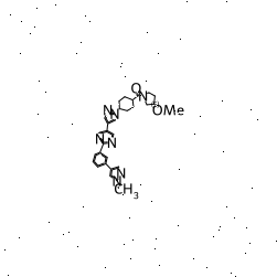 CO[C@H]1CCN(C(=O)C2CCC(n3cc(-c4cnc(-c5cccc(-c6cnn(C)c6)c5)nc4)cn3)CC2)C1